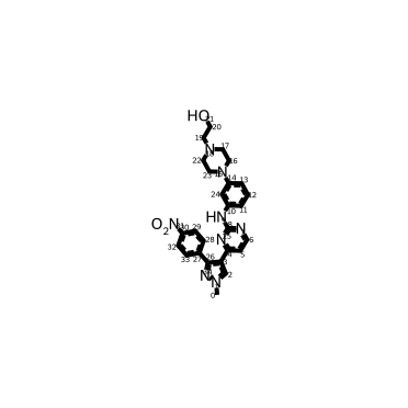 Cn1cc(-c2ccnc(Nc3cccc(N4CCN(CCO)CC4)c3)n2)c(-c2ccc([N+](=O)[O-])cc2)n1